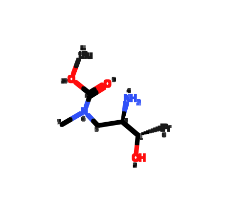 CC(C)[C@H](O)[C@H](N)CN(C)C(=O)OC(C)(C)C